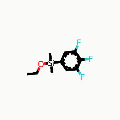 CCO[Si](C)(C)c1cc(F)c(F)c(F)c1